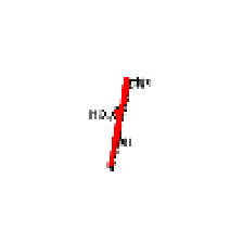 CCCCCCC(O)CC=CCCCCCCCC(CCCCCCCC=CCC(O)CCCCCCCCCN(C)C)OC(=O)O